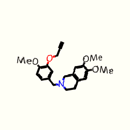 C#CCOc1cc(CN2CCc3cc(OC)c(OC)cc3C2)ccc1OC